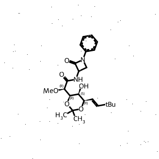 CO[C@@H](C(=O)NC1CN(c2ccccc2)C1=O)[C@@H]1OC(C)(C)O[C@H](C=CC(C)(C)C)[C@@H]1O